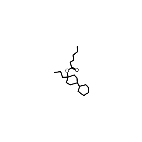 CCCCCC(=O)OC1(CCC)CCC(C2CCCCC2)CC1